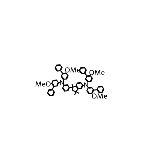 COc1ccc(N(c2cccc(C3(C)CC(C)(C)c4cc(N(c5ccc(OC)c(-c6ccccc6)c5)c5ccc(OC)c(-c6ccccc6)c5)ccc43)c2)c2ccc(OC)c(-c3ccccc3)c2)cc1-c1ccccc1